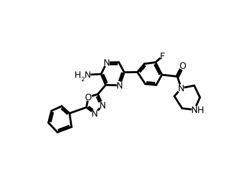 Nc1ncc(-c2ccc(C(=O)N3CCNCC3)c(F)c2)nc1-c1nnc(-c2ccccc2)o1